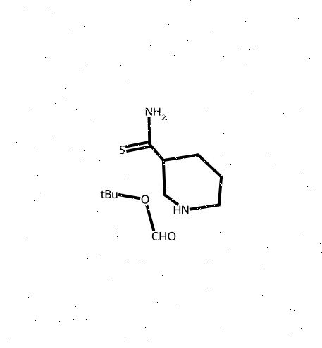 CC(C)(C)OC=O.NC(=S)C1CCCNC1